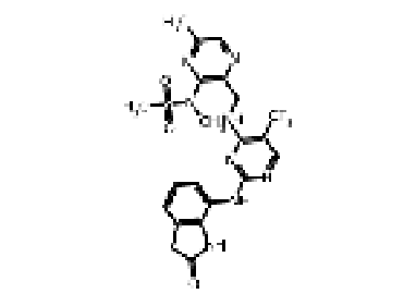 Cc1cnc(CNc2nc(Nc3cccc4c3NC(=O)C4)ncc2C(F)(F)F)c(N(C)S(C)(=O)=O)n1